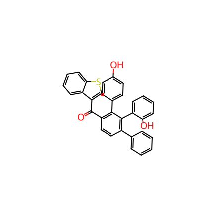 O=C(c1ccc(-c2ccccc2)c(-c2ccccc2O)c1-c1ccc(O)cc1)c1csc2ccccc12